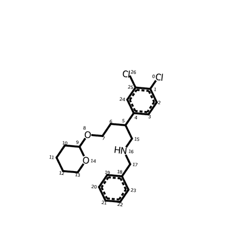 Clc1ccc(C(CCOC2CCCCO2)CNCc2ccccc2)cc1Cl